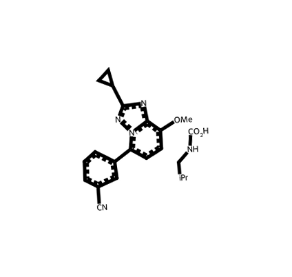 CC(C)CNC(=O)O.COc1ccc(-c2cccc(C#N)c2)n2nc(C3CC3)nc12